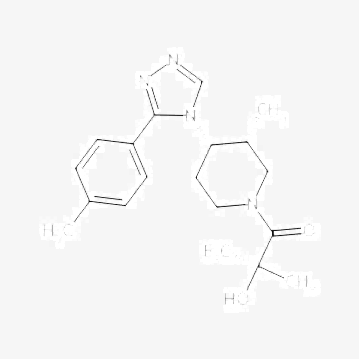 Cc1ccc(-c2nncn2[C@H]2CCN(C(=O)[C@@](C)(O)C(F)(F)F)C[C@H]2C)cc1